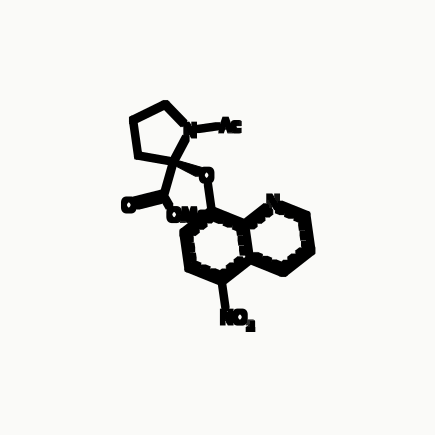 COC(=O)[C@]1(Oc2ccc([N+](=O)[O-])c3cccnc23)CCCN1C(C)=O